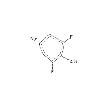 Oc1c(F)cccc1F.[Na]